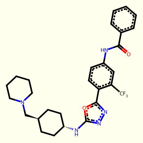 O=C(Nc1ccc(-c2nnc(N[C@H]3CC[C@H](CN4CCCCC4)CC3)o2)c(C(F)(F)F)c1)c1ccccc1